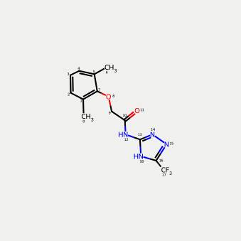 Cc1cccc(C)c1OCC(=O)Nc1nnc(C(F)(F)F)[nH]1